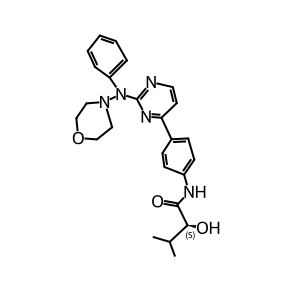 CC(C)[C@H](O)C(=O)Nc1ccc(-c2ccnc(N(c3ccccc3)N3CCOCC3)n2)cc1